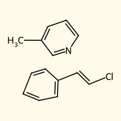 Cc1cccnc1.ClC=Cc1ccccc1